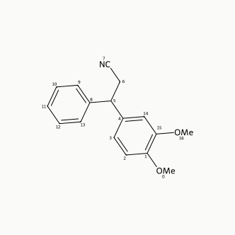 COc1ccc(C(CC#N)c2ccccc2)cc1OC